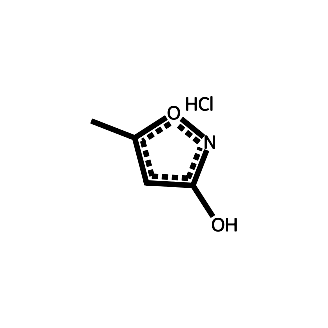 Cc1cc(O)no1.Cl